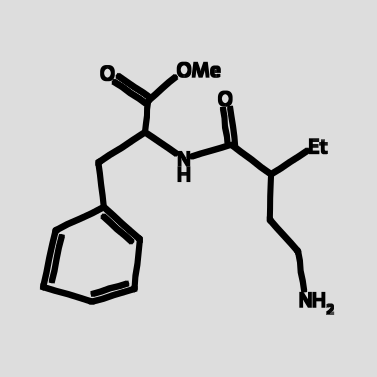 CCC(CCN)C(=O)NC(Cc1ccccc1)C(=O)OC